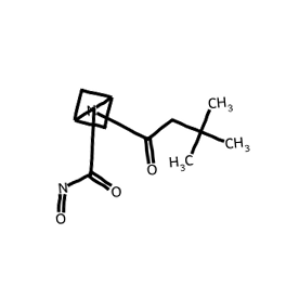 CC(C)(C)CC(=O)N1C2CC(C2)C1C(=O)N=O